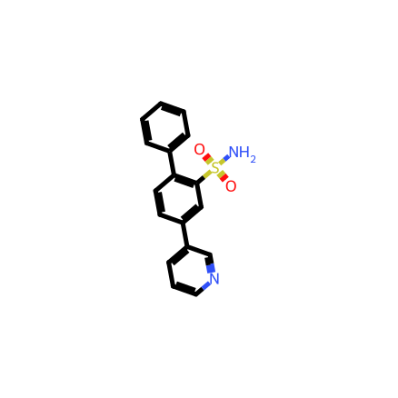 NS(=O)(=O)c1cc(-c2cccnc2)ccc1-c1ccccc1